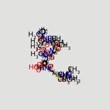 CCCC(CC)(NC(=O)C(C)(C)SSCCCC(=O)Nc1cc(C[C@@H](CC(C)C(=O)O)NC(=O)c2csc([C@@H](C[C@H](C(C)C)N(C)C(=O)[C@@H](NC(=O)C3CCCCN3C)[C@@H](C)CC)OC(C)=O)n2)ccc1OP(=O)(O)O)N(C)I